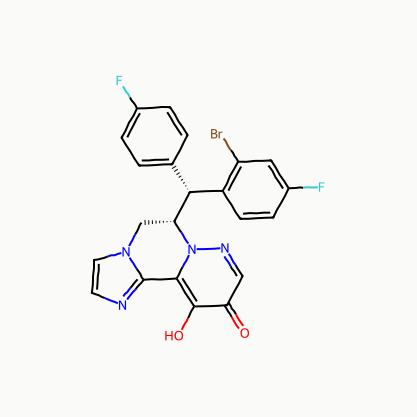 O=c1cnn2c(c1O)-c1nccn1C[C@@H]2[C@H](c1ccc(F)cc1)c1ccc(F)cc1Br